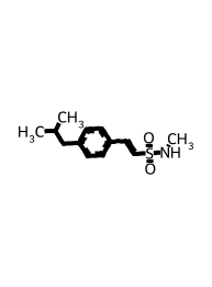 CNS(=O)(=O)C=Cc1ccc(CC(C)C)cc1